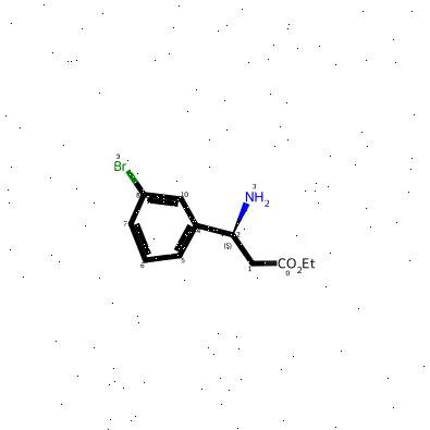 CCOC(=O)C[C@H](N)c1cccc(Br)c1